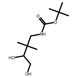 CC(C)(C)OC(=O)NCC(C)(C)C(O)CO